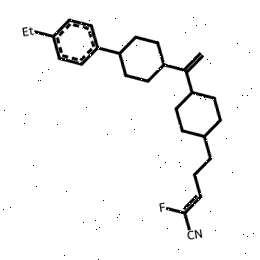 C=C(C1CCC(CCC=C(F)C#N)CC1)C1CCC(c2ccc(CC)cc2)CC1